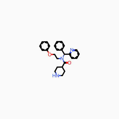 O=C(C1CCNCC1)N(CCOc1ccccc1)[C@@H](c1ccccc1)c1ccccn1